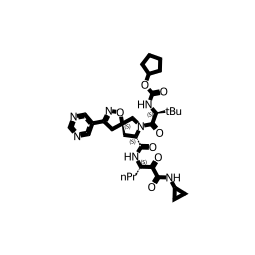 CCC[C@H](NC(=O)[C@@H]1C[C@]2(CC(c3cncnc3)=NO2)CN1C(=O)[C@@H](NC(=O)OC1CCCC1)C(C)(C)C)C(=O)C(=O)NC1CC1